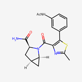 CC(=O)Nc1cccc(-c2sc(C)nc2C(=O)N2[C@H](C(N)=O)C[C@@H]3C[C@@H]32)c1